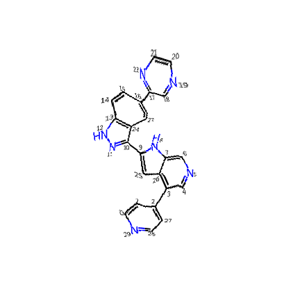 c1cc(-c2cncc3[nH]c(-c4n[nH]c5ccc(-c6cnccn6)cc45)cc23)ccn1